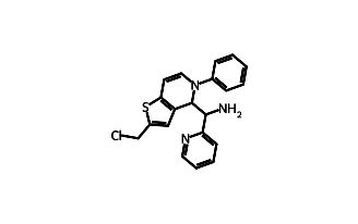 NC(c1ccccn1)C1c2cc(CCl)sc2C=CN1c1ccccc1